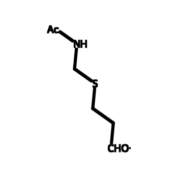 CC(=O)NCSCC[C]=O